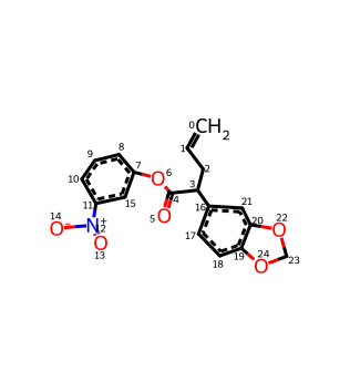 C=CCC(C(=O)Oc1cccc([N+](=O)[O-])c1)c1ccc2c(c1)OCO2